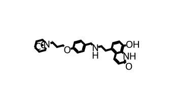 O=c1ccc2c(CCNCc3ccc(OCCC[N+]45CCC(CC4)CC5)cc3)ccc(O)c2[nH]1